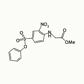 COC(=O)CNc1ccc(S(=O)(=O)Oc2ccccc2)cc1[N+](=O)[O-]